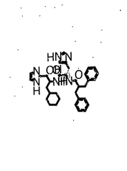 O=C(N[C@@H](Cc1c[nH]cn1)C(=O)NC(CC1CCCCC1)C(O)c1ncc[nH]1)C(Cc1ccccc1)Cc1ccccc1